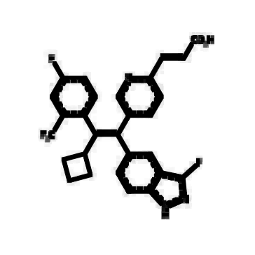 O=C(O)/C=C/c1ccc(/C(=C(\c2ccc(F)cc2C(F)(F)F)C2CCC2)c2ccc3[nH]nc(F)c3c2)cn1